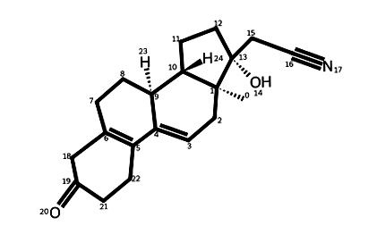 C[C@]12CC=C3C4=C(CC[C@H]3[C@@H]1CC[C@@]2(O)CC#N)CC(=O)CC4